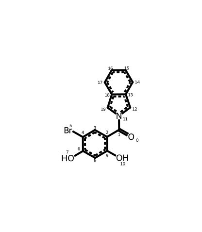 O=C(c1cc(Br)c(O)cc1O)n1cc2ccccc2c1